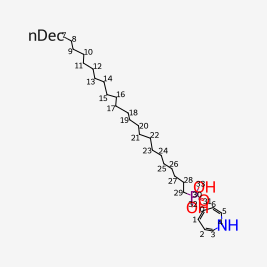 C1=CC=CNC=C1.CCCCCCCCCCCCCCCCCCCCCCCCCCCCCCCCP(=O)(O)O